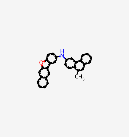 Cc1cc2ccccc2c2cc(Nc3ccc4oc5cc6ccccc6cc5c4c3)ccc12